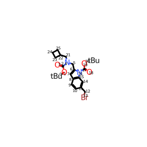 CC(C)(C)OC(=O)N(Cc1cc2ccc(CBr)cc2n1C(=O)OC(C)(C)C)CC1CCC1